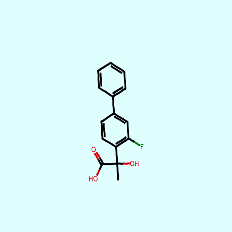 CC(O)(C(=O)O)c1ccc(-c2ccccc2)cc1F